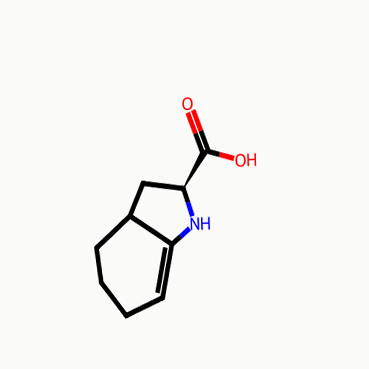 O=C(O)[C@@H]1CC2CCCC=C2N1